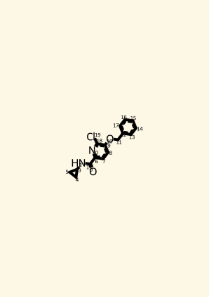 O=C(NC1CC1)c1ccc(OCc2ccccc2)c(Cl)n1